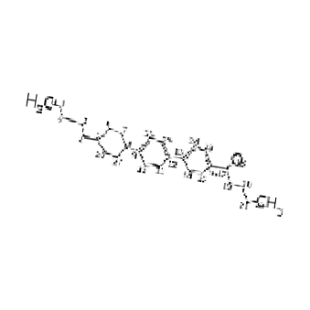 CCCCC[C@H]1CC[C@H](c2ccc(-c3ccc(C(=O)CCCC)cc3)cc2)CC1